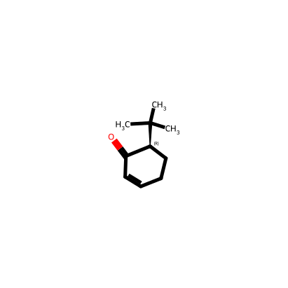 CC(C)(C)[C@H]1CCC=CC1=O